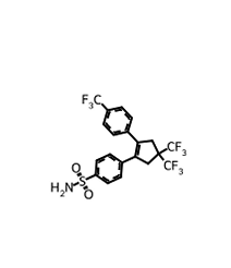 NS(=O)(=O)c1ccc(C2=C(c3ccc(C(F)(F)F)cc3)CC(C(F)(F)F)(C(F)(F)F)C2)cc1